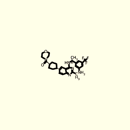 Cc1nc(N[C@H](C)c2cc(N)cc(C(F)(F)F)c2)c2cc([C@H]3CC[C@H](C(=O)N4CCOCC4)CC3)ccc2n1